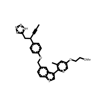 CC#CC(Cc1nnn[nH]1)c1ccc(OCc2ccc3scc(-c4ncc(OCCOC)cc4C)c3c2)cc1